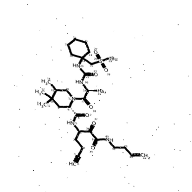 C#CCCC(NC(=O)[C@@H]1CC(C)(C)C(C)CN1C(=O)[C@@H](NC(=O)NC1(CS(=O)(=O)C(C)(C)C)CCCCC1)C(C)(C)C)C(=O)C(=O)NCCC=C